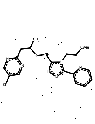 COCCn1c(NSC(C)Cc2ncc(Cl)cn2)nnc1-c1ccccn1